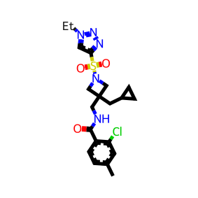 CCn1cc(S(=O)(=O)N2CC(CNC(=O)c3ccc(C)cc3Cl)(CC3CC3)C2)nn1